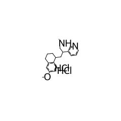 CNCC(CC1CCCc2cc(OC)ccc21)c1cccnc1.Cl.Cl